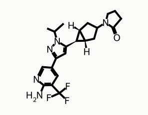 CC(C)n1nc(-c2cnc(N)c(C(F)(F)F)c2)cc1[C@H]1[C@@H]2CC(N3CCCC3=O)C[C@@H]21